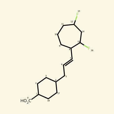 O=C(O)C1CCC(CC=CC2CCCC(F)CC2F)CC1